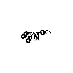 CCC(Cc1ccccc1)N(Cc1ccc2ccccc2n1)Cc1nncn1Cc1ccc(C#N)cc1